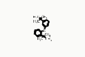 CC(C)(C)c1cccc(Oc2ccccc2C(C)(C)C)c1